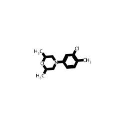 Cc1ccc(N2CC(C)OC(C)C2)cc1Cl